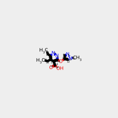 CCc1nnc(Oc2cnn(C)c2)c(C(=O)O)c1CC